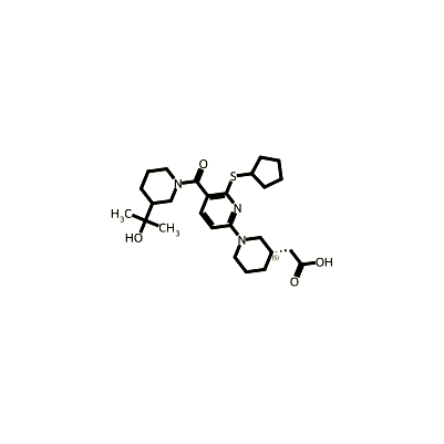 CC(C)(O)C1CCCN(C(=O)c2ccc(N3CCC[C@@H](CC(=O)O)C3)nc2SC2CCCC2)C1